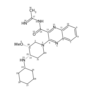 CO[C@@H]1CN(c2nc3ccccc3nc2C(=O)NC(C)=N)CC[C@@H]1NC1CCCCC1